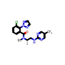 CCN(C(=O)c1cccc(Cl)c1-n1nccn1)[C@@H](C)CNc1ncc(C(F)(F)F)cn1